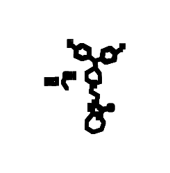 CCO.Cl.O=c1n(CCN2CCC(=C(c3ccc(F)cc3)c3ccc(F)cc3)CC2)nc2n1CCCCC2